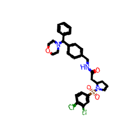 O=C(CC1CCCN1S(=O)(=O)c1ccc(Cl)c(Cl)c1)NCC1CCC(C(c2ccccc2)N2CCOCC2)CC1